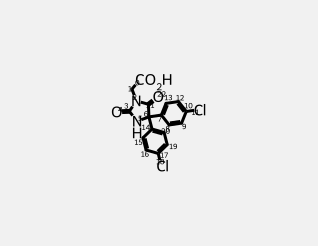 O=C(O)CN1C(=O)NC(c2ccc(Cl)cc2)(c2ccc(Cl)cc2)C1=O